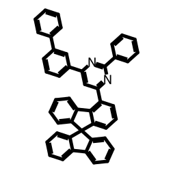 c1ccc(-c2cccc(-c3cc(-c4cccc5c4-c4ccccc4C54c5ccccc5-c5ccccc54)nc(-c4ccccc4)n3)c2)cc1